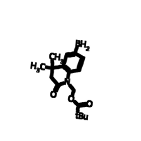 Bc1ccc2c(c1)C(C)(C)CC(=O)N2COC(=O)C(C)(C)C